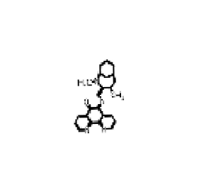 CC1CC2CCCC(C2)N(C)/C1=C/N=C1\C(=O)c2cccnc2-c2ncccc21